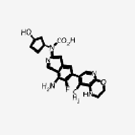 Cc1c(-c2cc3cc(N(C(=O)O)[C@H]4CC[C@@H](O)C4)ncc3c(N)c2F)cnc2c1NCCO2